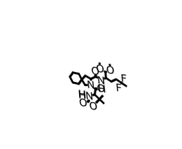 COC(OC)C(CCC(C)(F)F)NC(=O)C1CC2(CCCCC2)CN1C(=O)C(NC(=O)O)C(C)(C)C